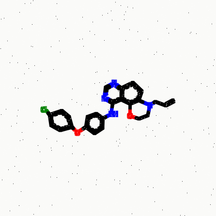 C=CCN1CCOc2c1ccc1ncnc(Nc3ccc(Oc4ccc(Cl)cc4)cc3)c21